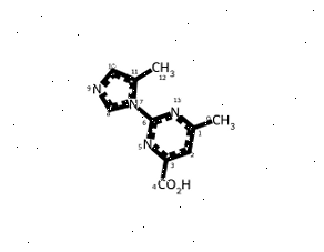 Cc1cc(C(=O)O)nc(-n2cncc2C)n1